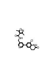 Cc1noc(C)c1C(=O)NCc1cncc(-c2cc(Cl)c3c(c2)CCC(=O)N3)c1